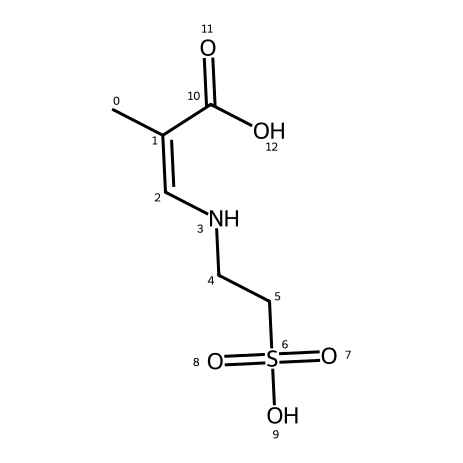 CC(=CNCCS(=O)(=O)O)C(=O)O